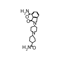 NC(=O)c1cccc2c1C(=O)N(C1CCN(C3CCC(C(N)=O)CC3)CC1)C2